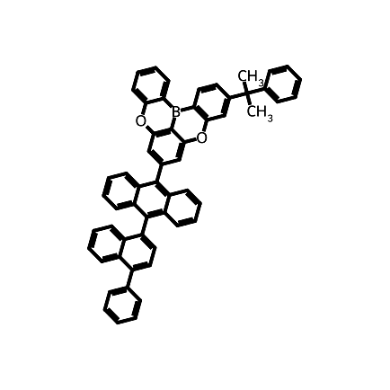 CC(C)(c1ccccc1)c1ccc2c(c1)Oc1cc(-c3c4ccccc4c(-c4ccc(-c5ccccc5)c5ccccc45)c4ccccc34)cc3c1B2c1ccccc1O3